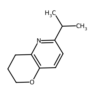 CC(C)c1ccc2c(n1)CCCO2